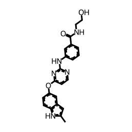 Cc1cc2cc(Oc3ccnc(Nc4cccc(C(=O)NCCO)c4)n3)ccc2[nH]1